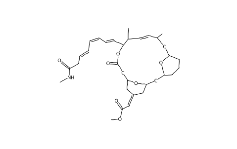 CNC(=O)C/C=C/C=C\C=C\C1OC(=O)CC2C/C(=C\C(=O)OC)CC(CC3CCCC(CC(C)/C=C/C1C)O3)O2